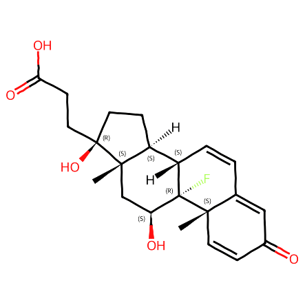 C[C@]12C=CC(=O)C=C1C=C[C@H]1[C@@H]3CC[C@@](O)(CCC(=O)O)[C@@]3(C)C[C@H](O)[C@@]12F